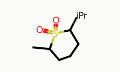 CC(C)C1CCCC(C)S1(=O)=O